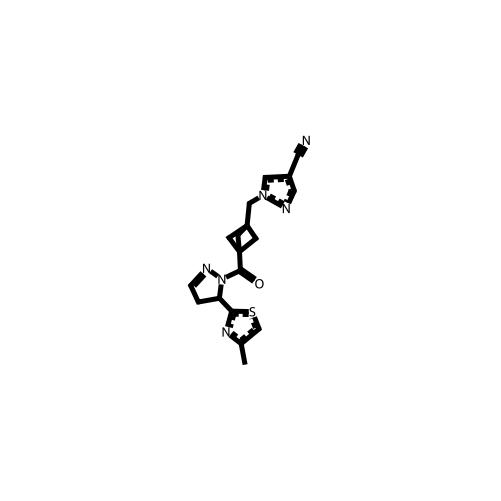 Cc1csc(C2CC=NN2C(=O)C23CC(Cn4cc(C#N)cn4)(C2)C3)n1